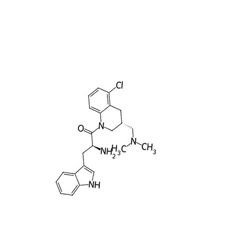 CN(C)C[C@H]1Cc2c(Cl)cccc2N(C(=O)[C@@H](N)Cc2c[nH]c3ccccc23)C1